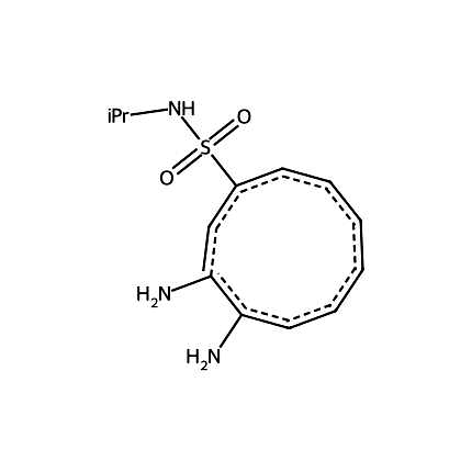 CC(C)NS(=O)(=O)c1ccccccc(N)c(N)c1